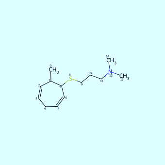 CC1C=CCC=CC1SCCCN(C)C